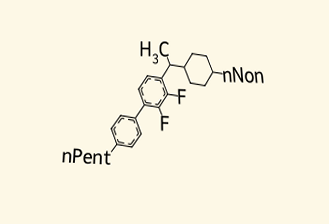 CCCCCCCCCC1CCC(C(C)c2ccc(-c3ccc(CCCCC)cc3)c(F)c2F)CC1